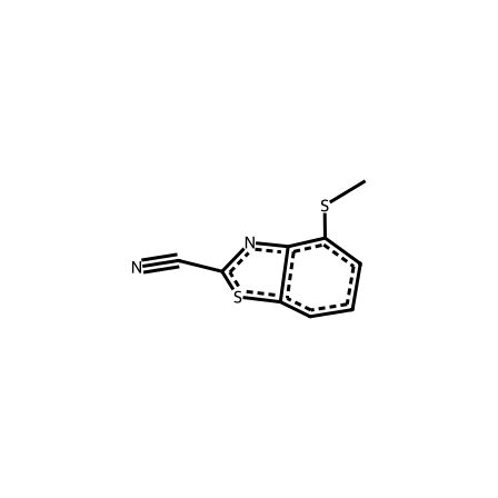 CSc1cccc2sc(C#N)nc12